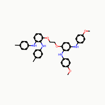 COc1ccc(Nc2ccc(OCCOc3cccc(Nc4ccc(C)cc4)c3Nc3ccc(C)cc3)c(Nc3ccc(OC)cc3)c2)cc1